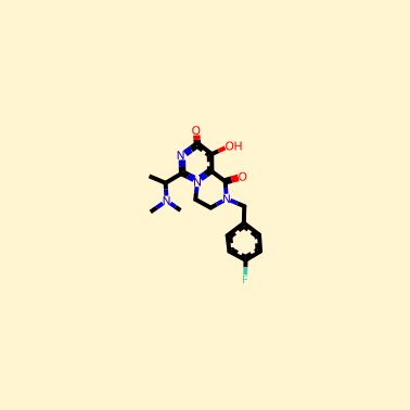 CC(c1nc(=O)c(O)c2n1CCN(Cc1ccc(F)cc1)C2=O)N(C)C